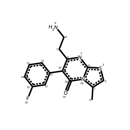 Cc1csc2nc(CCN)c(-c3cccc(F)c3)c(=O)n12